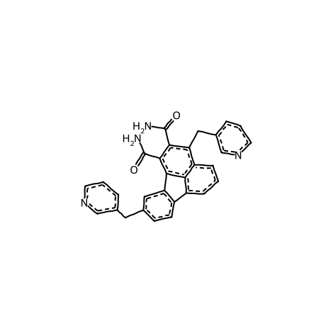 NC(=O)c1c(C(N)=O)c2c3c(cccc3c1Cc1cccnc1)-c1ccc(Cc3cccnc3)cc1-2